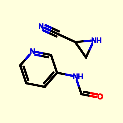 N#CC1CN1.O=CNc1cccnc1